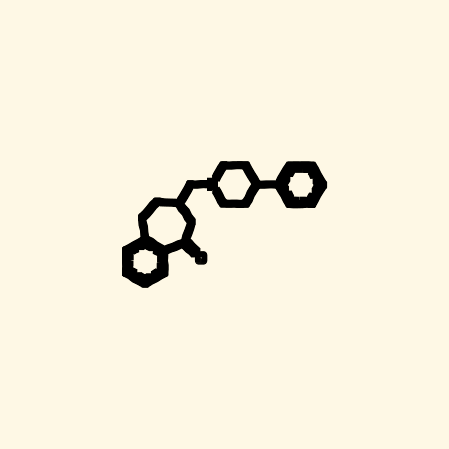 O=C1CC(CN2CCC(c3ccccc3)CC2)CCc2ccccc21